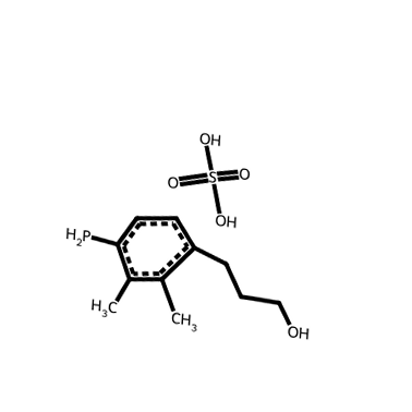 Cc1c(P)ccc(CCCO)c1C.O=S(=O)(O)O